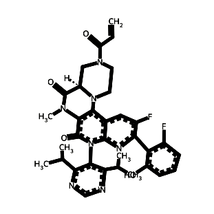 C=CC(=O)N1CCN2c3c(c(=O)n(-c4c(C(C)C)ncnc4C(C)C)c4nc(-c5c(O)cccc5F)c(F)cc34)N(C)C(=O)[C@H]2C1